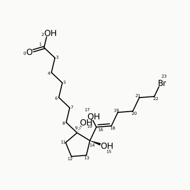 O=C(O)CCCCCC[C@]1(O)CCC[C@@]1(O)C(O)=CCCCCBr